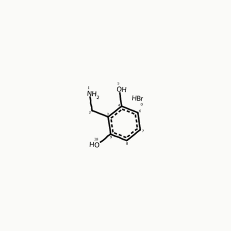 Br.NCc1c(O)cccc1O